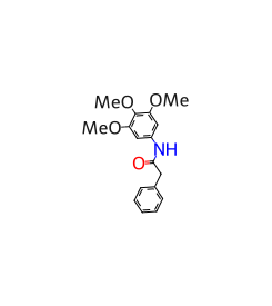 COc1cc(NC(=O)Cc2ccccc2)cc(OC)c1OC